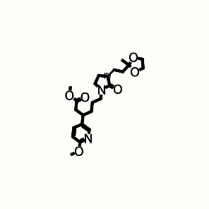 COC(=O)CC(CCCN1CC[C@@H](CCC2(C)OCCO2)C1=O)c1ccc(OC)nc1